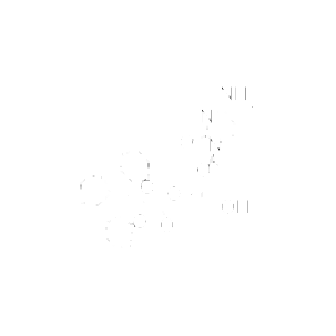 COC(OC)(C(=O)OC[C@H]1O[C@@H](n2ccc(N)nc2=O)CC1O)C(c1ccccc1)(c1ccccc1)c1ccccc1